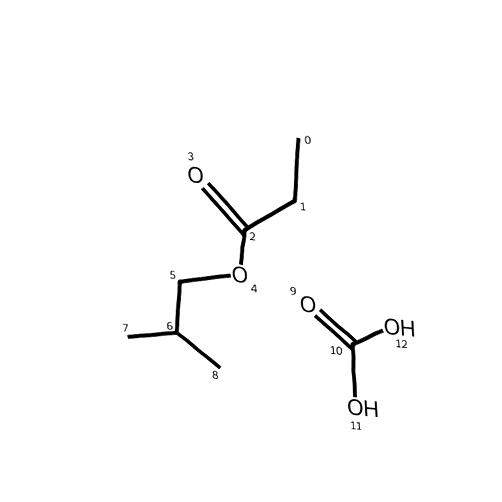 CCC(=O)OCC(C)C.O=C(O)O